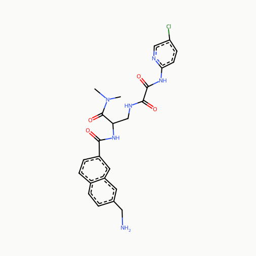 CN(C)C(=O)C(CNC(=O)C(=O)Nc1ccc(Cl)cn1)NC(=O)c1ccc2ccc(CN)cc2c1